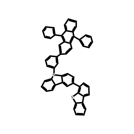 c1ccc(-c2c3ccccc3c(-c3ccccc3)c3cc(-c4cccc(-n5c6ccccc6c6cc(-c7cccc8c7sc7ccccc78)ccc65)c4)ccc23)cc1